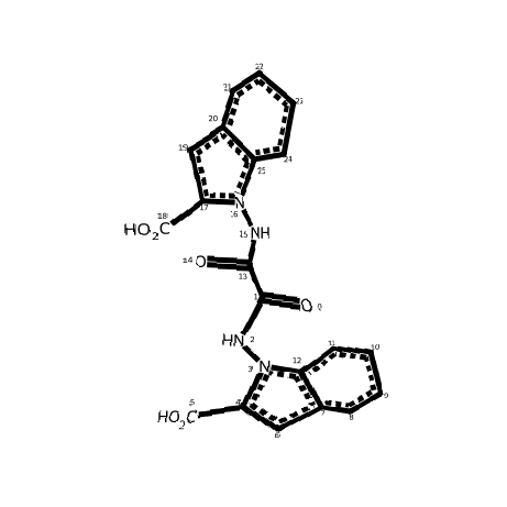 O=C(Nn1c(C(=O)O)cc2ccccc21)C(=O)Nn1c(C(=O)O)cc2ccccc21